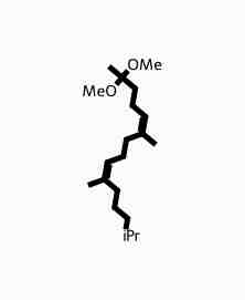 COC(C)(CC/C=C(/C)CC/C=C(/C)CCCC(C)C)OC